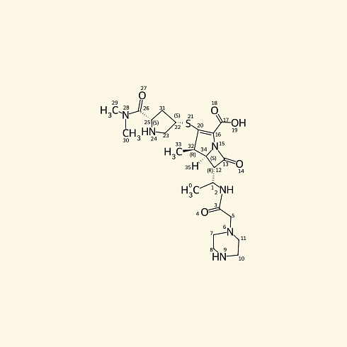 CC(NC(=O)CN1CCNCC1)[C@H]1C(=O)N2C(C(=O)O)=C(S[C@@H]3CN[C@H](C(=O)N(C)C)C3)[C@H](C)[C@H]12